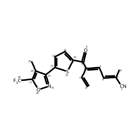 C=C/C(=C\C=C(/C)C#N)C(=O)c1ccc(-c2noc(C(F)(F)F)c2C)s1